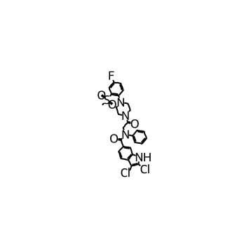 CS(=O)(=O)c1cc(F)ccc1N1CCN(C(=O)CN(C(=O)c2ccc3c(Cl)c(Cl)[nH]c3c2)c2ccccc2)CC1